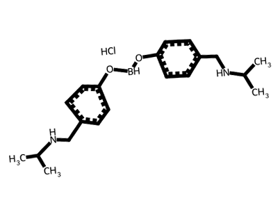 CC(C)NCc1ccc(OBOc2ccc(CNC(C)C)cc2)cc1.Cl